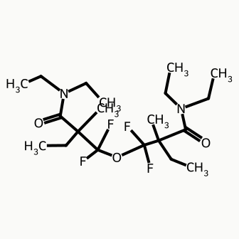 CCN(CC)C(=O)C(C)(CC)C(F)(F)OC(F)(F)C(C)(CC)C(=O)N(CC)CC